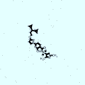 Cc1nn(C)cc1S(=O)(=O)NC(=O)c1ccc(-n2ccc(OCCC(C3CC3)C3CC3)n2)nc1Cl